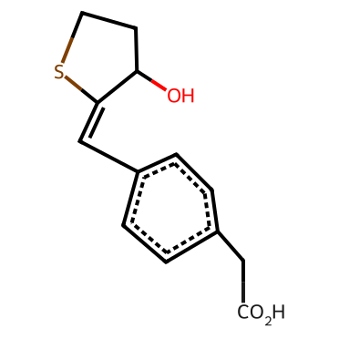 O=C(O)Cc1ccc(C=C2SCCC2O)cc1